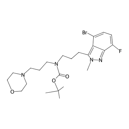 Cn1nc2c(F)ccc(Br)c2c1CCCN(CCCN1CCOCC1)C(=O)OC(C)(C)C